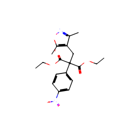 CCOC(=O)C(Cc1c(C)noc1C)(C(=O)OCC)c1ccc([N+](=O)[O-])cc1